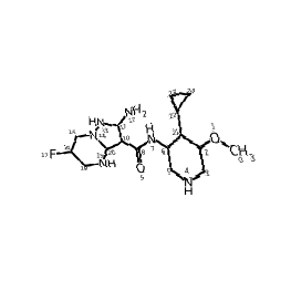 COC1CNCC(NC(=O)C2C(N)NN3CC(F)CNC23)C1C1CC1